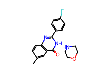 C1COCCN1.Cc1ccc2nc(-c3ccc(F)cc3)[nH]c(=O)c2c1